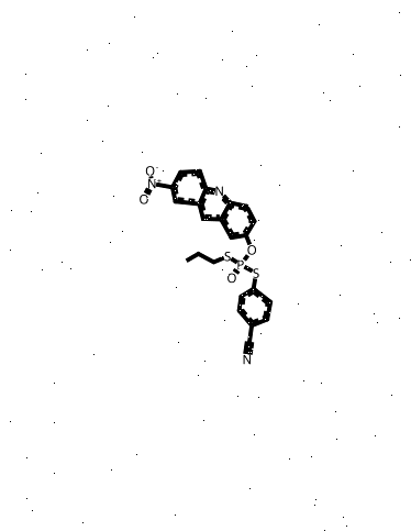 CCCSP(=O)(Oc1ccc2nc3ccc([N+](=O)[O-])cc3cc2c1)Sc1ccc(C#N)cc1